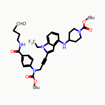 CC(C)(C)OC(=O)N1CCC(Nc2cccc3c2cc(C#CCN(C(=O)OC(C)(C)C)c2ccc(C(=O)NCCCC=O)cc2)n3CC(F)(F)F)CC1